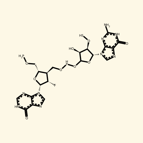 Nc1nc2c(ncn2[C@@H]2OC(OPOC[C@H]3[C@H](F)[C@H](n4cnc5c(=O)[nH]cnc54)O[C@@H]3COP)[C@@H](O)[C@H]2OS)c(=O)[nH]1